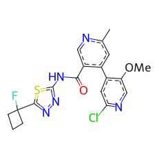 COc1cnc(Cl)cc1-c1cc(C)ncc1C(=O)Nc1nnc(C2(F)CCC2)s1